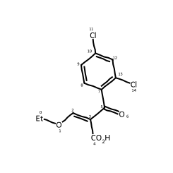 CCOC=C(C(=O)O)C(=O)c1ccc(Cl)cc1Cl